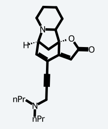 CCCN(CC#CC1=C[C@@H]2C[C@@]3(OC(=O)C=C13)C1CCCCN12)CCC